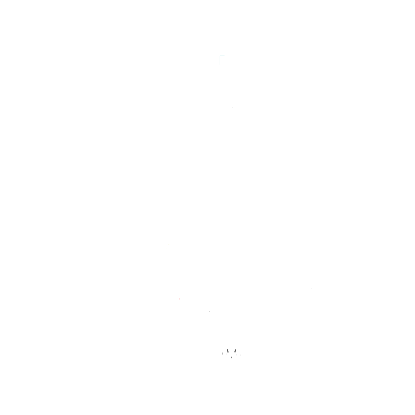 COC(=O)c1ccccc1-c1sc(C)cc1-c1cccc(F)c1